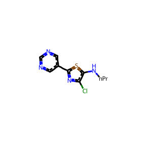 CCCNc1sc(-c2cncnc2)nc1Cl